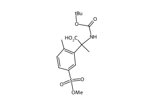 COS(=O)(=O)c1ccc(C)c(C(C)(NC(=O)OC(C)(C)C)C(=O)O)c1